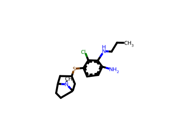 CCCNc1c(N)ccc(SC2CC3CCC(C2)N3C)c1Cl